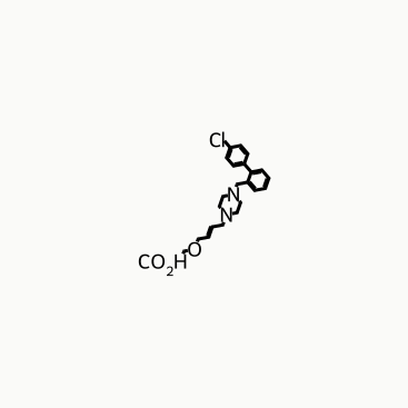 O=C(O)COCC=CCN1CCN(Cc2ccccc2-c2ccc(Cl)cc2)CC1